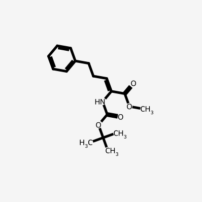 COC(=O)C(=CCCc1ccccc1)NC(=O)OC(C)(C)C